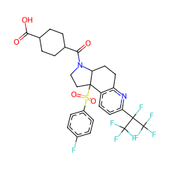 O=C(O)C1CCC(C(=O)N2CCC3(S(=O)(=O)c4ccc(F)cc4)c4ccc(C(F)(C(F)(F)F)C(F)(F)F)nc4CCC23)CC1